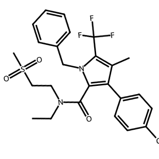 CCN(CCS(C)(=O)=O)C(=O)c1c(-c2ccc(Cl)cc2)c(C)c(C(F)(F)F)n1Cc1ccccc1